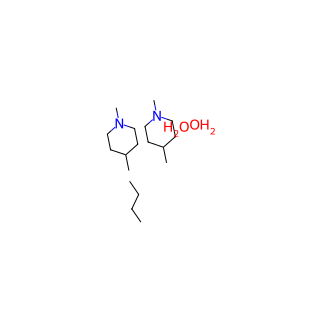 CC1CCN(C)CC1.CC1CCN(C)CC1.CCCC.O.O